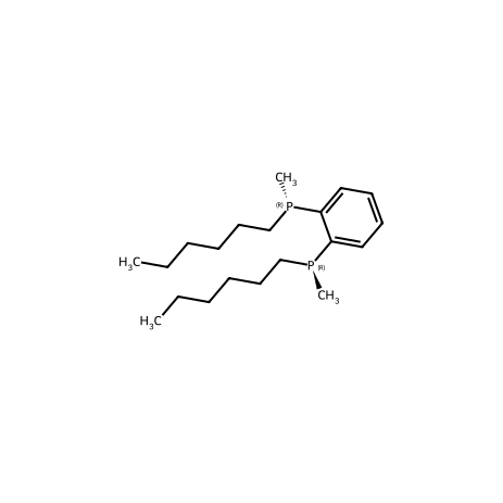 CCCCCC[P@](C)c1ccccc1[P@@](C)CCCCCC